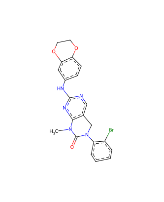 CN1C(=O)N(c2ccccc2Br)Cc2cnc(Nc3ccc4c(c3)OCCO4)nc21